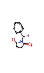 O=C1C=CC(=O)N1C(I)c1ccccc1